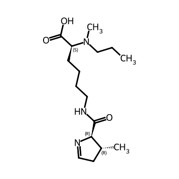 CCCN(C)[C@@H](CCCCNC(=O)[C@@H]1N=CC[C@H]1C)C(=O)O